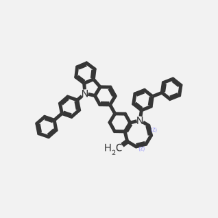 C=C1/C=C\C=C/N(c2cccc(-c3ccccc3)c2)C2=C1CCC(C1=CC3C(C=C1)c1ccccc1N3c1ccc(-c3ccccc3)cc1)C2